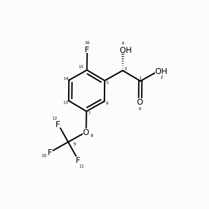 O=C(O)[C@@H](O)c1cc(OC(F)(F)F)ccc1F